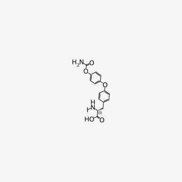 NC(=O)Oc1ccc(Oc2ccc(C[C@H](NI)C(=O)O)cc2)cc1